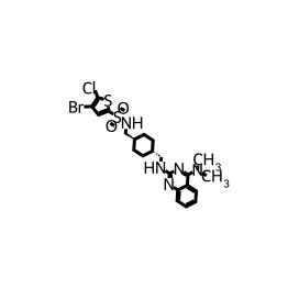 CN(C)c1nc(NC[C@H]2CC[C@H](CNS(=O)(=O)c3cc(Br)c(Cl)s3)CC2)nc2ccccc12